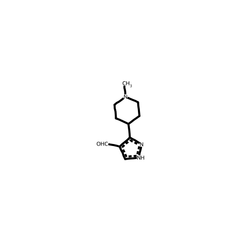 CN1CCC(c2n[nH]cc2C=O)CC1